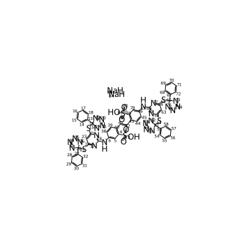 O=S(=O)(O)c1cc(Nc2nc(SC3(c4ccccc4)N=NN=N3)cc(SC3(c4ccccc4)N=NN=N3)n2)ccc1C=Cc1ccc(Nc2nc(SC3(c4ccccc4)N=NN=N3)cc(SC3(c4ccccc4)N=NN=N3)n2)cc1S(=O)(=O)O.[NaH].[NaH]